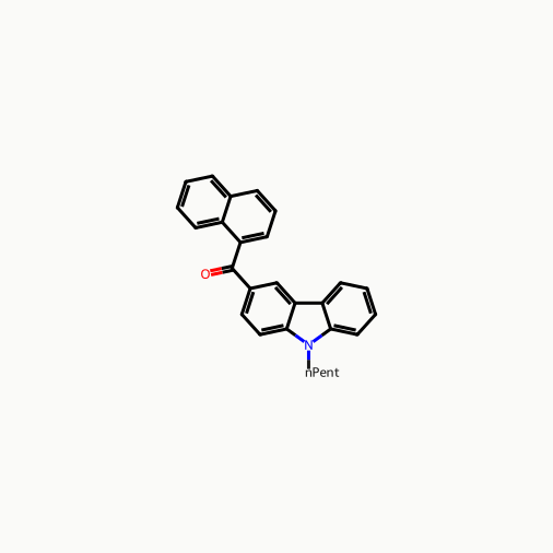 CCCCCn1c2ccccc2c2cc(C(=O)c3cccc4ccccc34)ccc21